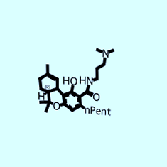 CCCCCc1cc2c(c(O)c1C(=O)NCCCN(C)C)C1C=C(C)CC[C@H]1C(C)(C)O2